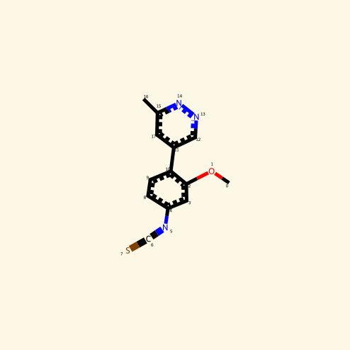 COc1cc(N=C=S)ccc1-c1cnnc(C)c1